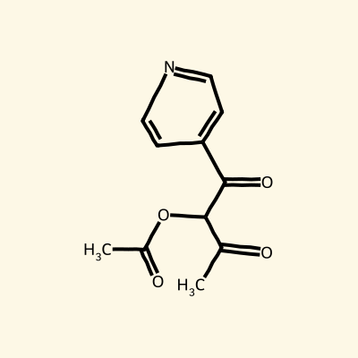 CC(=O)OC(C(C)=O)C(=O)c1ccncc1